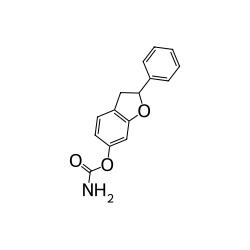 NC(=O)Oc1ccc2c(c1)OC(c1ccccc1)C2